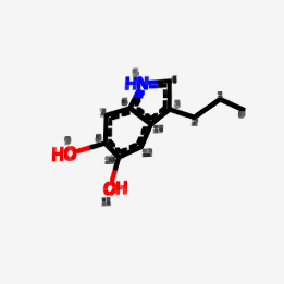 CCCc1c[nH]c2cc(O)c(O)cc12